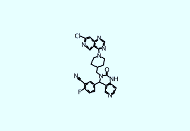 N#Cc1cc(C2c3cnccc3NC(=O)N2CC2CCN(c3ncnc4cc(Cl)ncc34)CC2)ccc1F